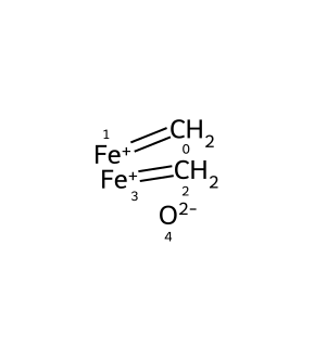 [CH2]=[Fe+].[CH2]=[Fe+].[O-2]